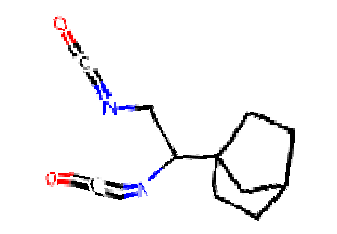 O=C=NCC(N=C=O)C12CCC(CC1)C2